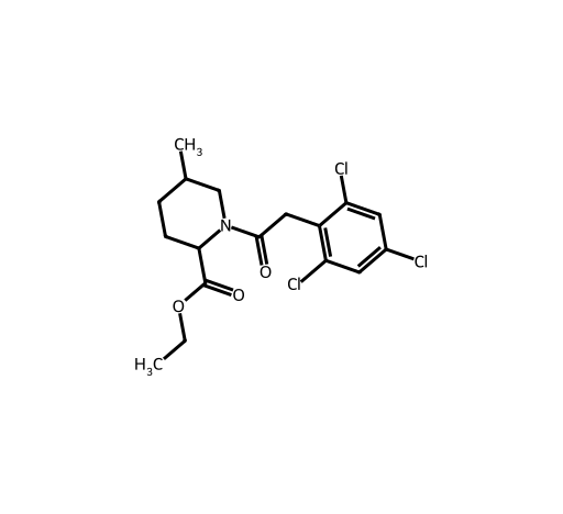 CCOC(=O)C1CCC(C)CN1C(=O)Cc1c(Cl)cc(Cl)cc1Cl